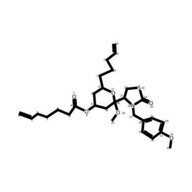 C=CCCCCC(=O)OC1CC(CCCC=C)OC(OC)(C2CSC(=O)N2Cc2ccc(OC)cc2)C1